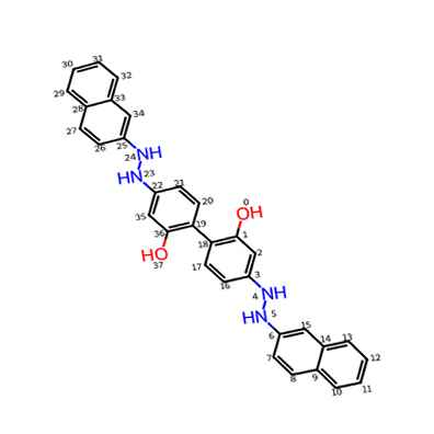 Oc1cc(NNc2ccc3ccccc3c2)ccc1-c1ccc(NNc2ccc3ccccc3c2)cc1O